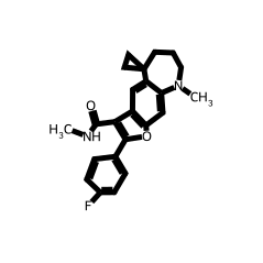 CNC(=O)c1c(-c2ccc(F)cc2)oc2cc3c(cc12)C1(CCCN3C)CC1